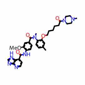 COc1cc(C(=O)N(C)c2ccc(C)cc2OCCCCCC(=O)N2CCN(C)CC2)ccc1NC(=O)c1ccnc2nc[nH]c12